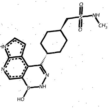 CNS(=O)(=O)C[C@H]1CC[C@H](C2=NNB(O)c3cnc4[nH]ccc4c32)CC1